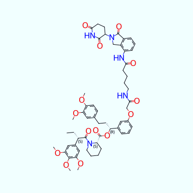 CC[C@H](C(=O)N1CCCC[C@H]1C(=O)O[C@H](CCc1ccc(OC)c(OC)c1)c1cccc(OCC(=O)NCCCCC(=O)Nc2cccc3c2CN(C2CCC(=O)NC2=O)C3=O)c1)c1cc(OC)c(OC)c(OC)c1